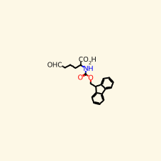 O=CCCCC(NC(=O)OCC1c2ccccc2-c2ccccc21)C(=O)O